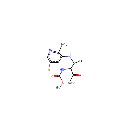 COC(=O)C(NC(=O)OC(C)(C)C)C(C)Nc1cc(Br)cnc1[N+](=O)[O-]